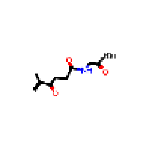 C=C(C)C(=O)CCC(=O)NCC(=O)C(C)(C)C